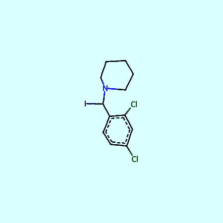 Clc1ccc(C(I)N2CCCCC2)c(Cl)c1